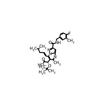 Cc1cc(CNC(=O)c2cc3nc(C)c([C@H](OC(C)(C)C)C(=O)O)c(/C=C/CC(C)C)n3n2)ccc1F